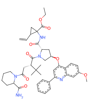 C=CC1CC1(NC(=O)[C@@H]1C[C@@H](Oc2cc(-c3ccccc3)nc3cc(OC)ccc23)CN1C(=O)[C@@H](CC(=O)N1CCCCC1C(N)=O)C(C)(C)C)C(=O)OCC